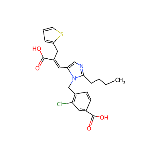 CCCCc1ncc(/C=C(\Cc2cccs2)C(=O)O)n1Cc1ccc(C(=O)O)cc1Cl